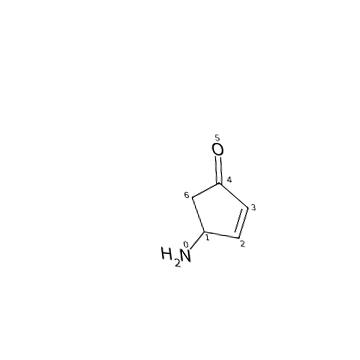 NC1C=CC(=O)C1